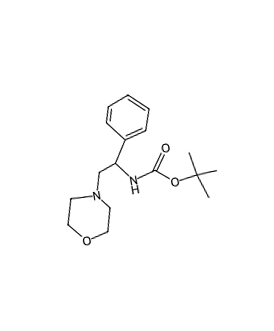 CC(C)(C)OC(=O)NC(CN1CCOCC1)c1ccccc1